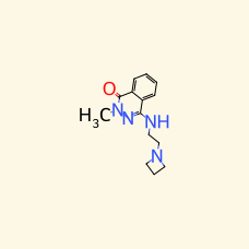 Cn1nc(NCCN2CCC2)c2ccccc2c1=O